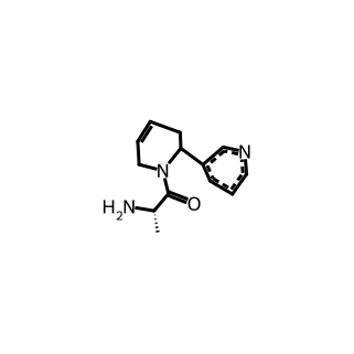 C[C@H](N)C(=O)N1CC=CCC1c1cccnc1